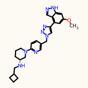 COc1cc(-c2cn(Cc3ccc(N4CCC[C@@H](NCC5CCC5)C4)nc3)nn2)c2cn[nH]c2c1